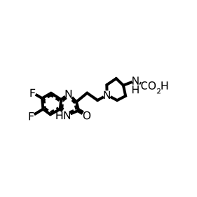 O=C(O)NC1CCN(CCc2nc3cc(F)c(F)cc3[nH]c2=O)CC1